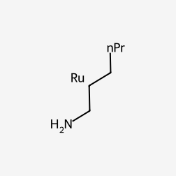 CCCCCCN.[Ru]